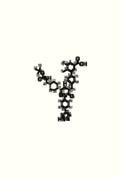 Cc1c(F)cc(C(=O)O)cc1-c1ccc(C[C@H](NC(=O)[C@H]2CC[C@H](CNC(=O)OC(C)(C)C)CC2)C(=O)Nc2ccc(-c3nn[nH]n3)cc2)cc1